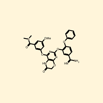 COc1cc(Oc2nc(Oc3cc(C(=N)N)ccc3Oc3ccccc3)nc3c2NC(=O)CO3)cc(C(=O)N(C)C)c1